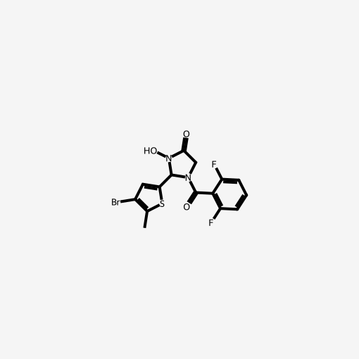 Cc1sc(C2N(O)C(=O)CN2C(=O)c2c(F)cccc2F)cc1Br